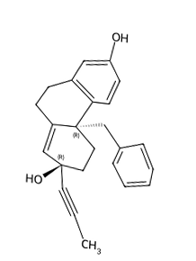 CC#C[C@]1(O)C=C2CCc3cc(O)ccc3[C@@]2(Cc2ccccc2)CC1